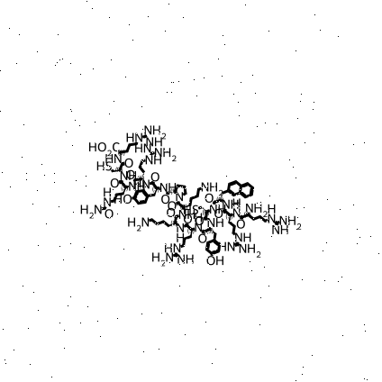 N=C(N)NCCC[C@H](NC(=O)[C@H](CS)NC(=O)[C@H](CCCNC(N)=O)NC(=O)[C@H](CCCNC(=N)N)NC(=O)[C@H](Cc1ccc(O)cc1)NC(=O)[C@@H]1CCCN1C(=O)[C@@H](CCCCN)NC(=O)[C@H](CCCCN)NC(=O)[C@H](CCCNC(=N)N)NC(=O)[C@H](Cc1ccc(O)cc1)NC(=O)[C@H](CS)NC(=O)[C@H](Cc1ccc2ccccc2c1)NC(=O)[C@H](CCCNC(=N)N)NC(=O)[C@@H](N)CCCNC(=N)N)C(=O)O